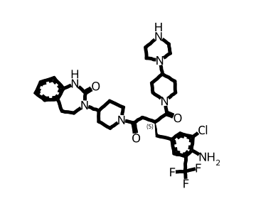 Nc1c(Cl)cc(C[C@@H](CC(=O)N2CCC(N3CCc4ccccc4NC3=O)CC2)C(=O)N2CCC(N3CCNCC3)CC2)cc1C(F)(F)F